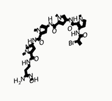 C=C(Br)C(=O)Nc1ccn(C)c1C(=O)Nc1cc(C(=O)Nc2cc(C(=O)Nc3cc(C(=O)NCCC(N)=NO)n(C)n3)n(C)c2)n(C)c1